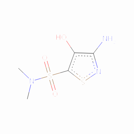 CN(C)S(=O)(=O)c1snc(N)c1O